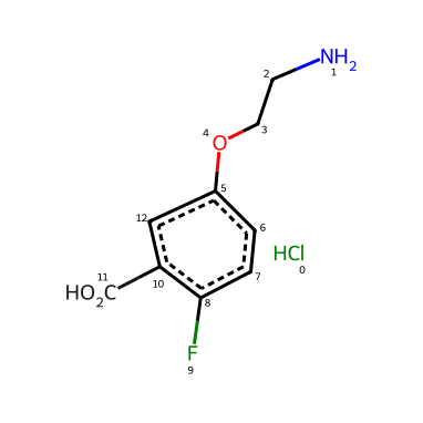 Cl.NCCOc1ccc(F)c(C(=O)O)c1